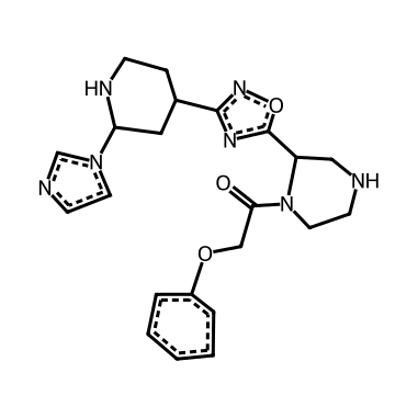 O=C(COc1ccccc1)N1CCNCC1c1nc(C2CCNC(n3ccnc3)C2)no1